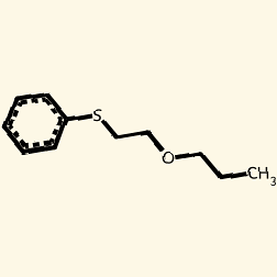 CCCOCCSc1ccccc1